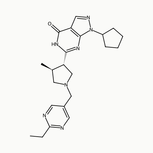 CCc1ncc(CN2C[C@@H](C)[C@H](c3nc4c(cnn4C4CCCC4)c(=O)[nH]3)C2)cn1